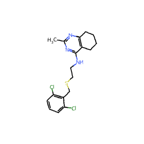 Cc1nc2c(c(NCCSCc3c(Cl)cccc3Cl)n1)CCCC2